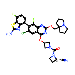 N#C[C@@H]1CCN1C(=O)N1CC(Oc2nc(OCC34CCCN3CCC4)nc3c(F)c(-c4ccc(F)c5sc(N)nc45)c(Cl)cc23)C1